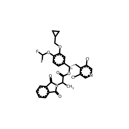 CC(C(=O)O[C@@H](Cc1c(Cl)cncc1Cl)c1ccc(OC(F)F)c(OCC2CC2)c1)N1C(=O)c2ccccc2C1=O